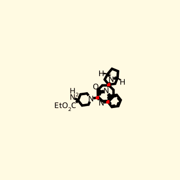 CCOC(=O)C1(N)CCN(c2nc3ccccc3n([C@H]3C[C@H]4CC[C@@H](C3)N4C3CCCCCCC3)c2=O)CC1